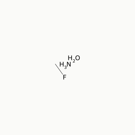 CF.N.O